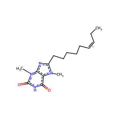 CC/C=C\CCCCCc1nc2c(c(=O)[nH]c(=O)n2C)n1C